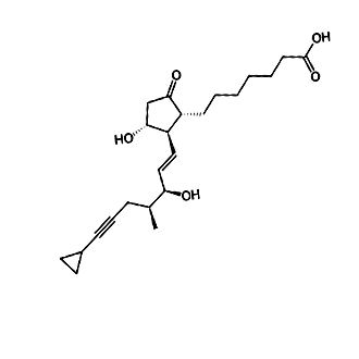 C[C@@H](CC#CC1CC1)[C@H](O)/C=C/[C@H]1[C@H](O)CC(=O)[C@@H]1CCCCCCC(=O)O